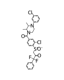 CC1C(C)N(c2cccc(Cl)c2)CCN1C(=O)c1ccc([S+]([O-])CC(=O)C(F)(F)c2ccccc2)c(Cl)c1